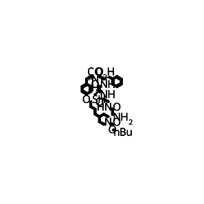 CCCCOC(=O)N1CCC(CCCCOc2ccc(C[C@H](NC(=O)[C@H](Cc3ccccc3)NC(=O)[C@H](CS)NC(=O)CNC(=O)CN)C(=O)O)cc2)CC1